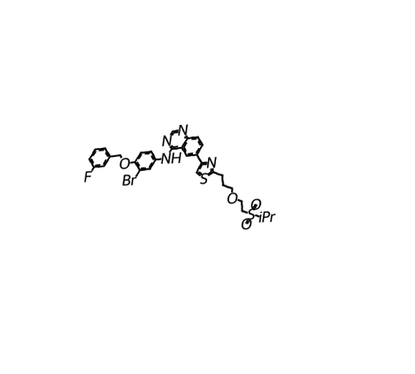 CC(C)S(=O)(=O)CCOCCCc1nc(-c2ccc3ncnc(Nc4ccc(OCc5cccc(F)c5)c(Br)c4)c3c2)cs1